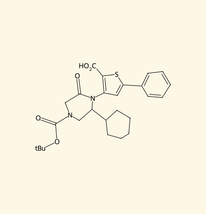 CC(C)(C)OC(=O)N1CC(=O)N(c2cc(-c3ccccc3)sc2C(=O)O)C(C2CCCCC2)C1